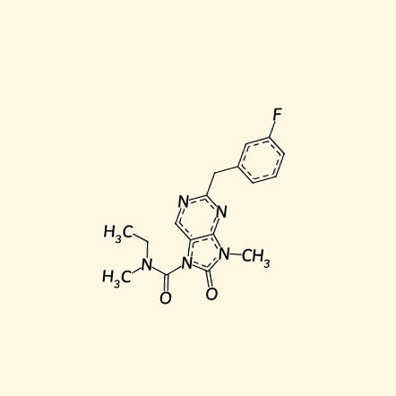 CCN(C)C(=O)n1c(=O)n(C)c2nc(Cc3cccc(F)c3)ncc21